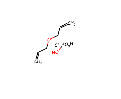 C=CCOCC=C.O=S(=O)(O)O.[C]